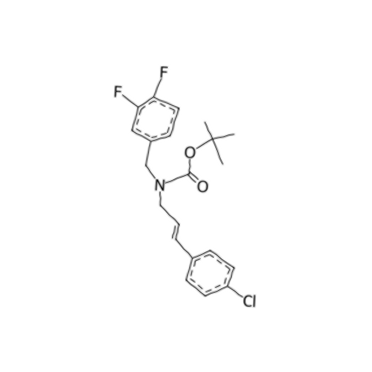 CC(C)(C)OC(=O)N(C/C=C/c1ccc(Cl)cc1)Cc1ccc(F)c(F)c1